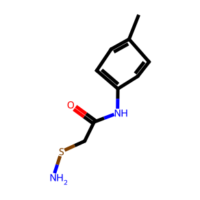 Cc1ccc(NC(=O)CSN)cc1